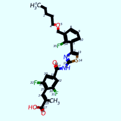 CCCCCOCc1cccc(-c2csc(NC(=O)c3cc(F)c(/C=C(\C)C(=O)O)c(F)c3)n2)c1F